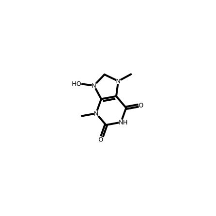 CN1CN(O)c2c1c(=O)[nH]c(=O)n2C